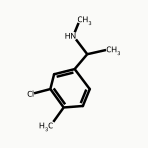 CNC(C)c1ccc(C)c(Cl)c1